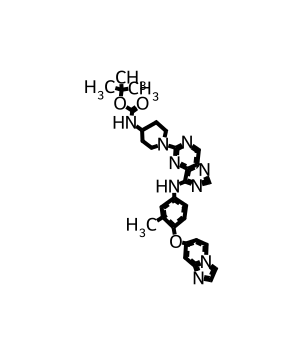 Cc1cc(Nc2ncnc3cnc(N4CCC(NC(=O)OC(C)(C)C)CC4)nc23)ccc1Oc1ccn2ccnc2c1